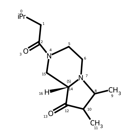 CC(C)CC(=O)N1CCN2C(C)C(C)C(=O)[C@@H]2C1